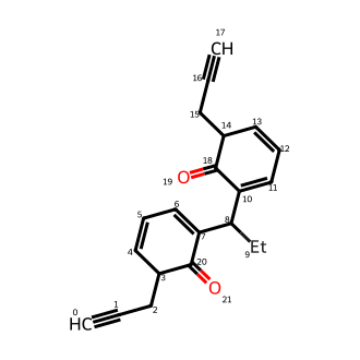 C#CCC1C=CC=C(C(CC)C2=CC=CC(CC#C)C2=O)C1=O